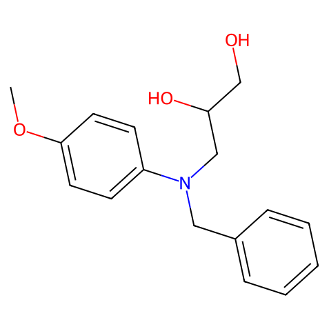 COc1ccc(N(Cc2ccccc2)CC(O)CO)cc1